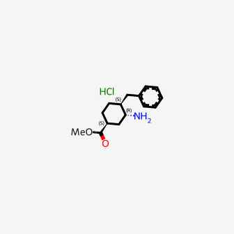 COC(=O)[C@H]1CC[C@@H](Cc2ccccc2)[C@H](N)C1.Cl